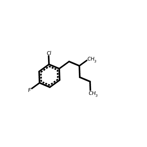 CCCC(C)Cc1ccc(F)cc1Cl